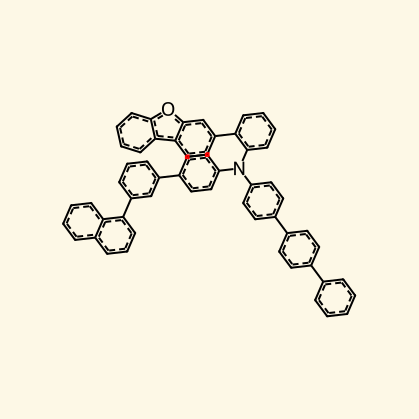 c1ccc(-c2ccc(-c3ccc(N(c4ccc(-c5cccc(-c6cccc7ccccc67)c5)cc4)c4ccccc4-c4ccc5c(c4)oc4ccccc45)cc3)cc2)cc1